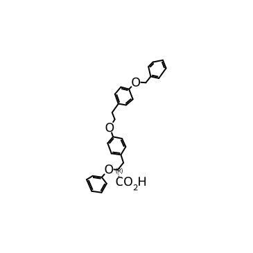 O=C(O)[C@@H](Cc1ccc(OCCc2ccc(OCc3ccccc3)cc2)cc1)Oc1ccccc1